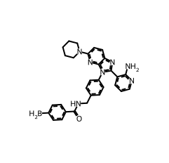 Bc1ccc(C(=O)NCc2ccc(-n3c(-c4cccnc4N)nc4ccc(N5CCCCC5)nc43)cc2)cc1